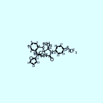 CC1(C(N)c2ccncc2C(=O)c2ccco2)NC(=O)N(c2ccc(SC(F)(F)F)cc2)C1=O